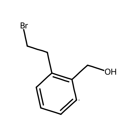 OCc1[c]cccc1CCBr